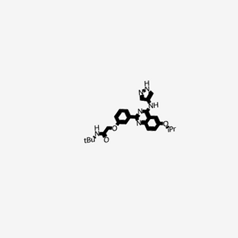 CC(C)Oc1ccc2nc(-c3cccc(OCC(=O)NC(C)(C)C)c3)nc(Nc3cn[nH]c3)c2c1